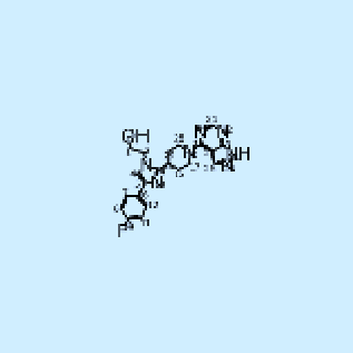 OCCn1cc(-c2ccc(F)cc2)nc1C1CCN(c2ncnc3[nH]ncc23)CC1